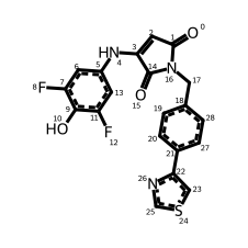 O=C1C=C(Nc2cc(F)c(O)c(F)c2)C(=O)N1Cc1ccc(-c2cscn2)cc1